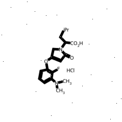 CC(C)CC(C(=O)O)N1CC(Oc2cccc(N(C)C)c2F)=CC1=O.Cl